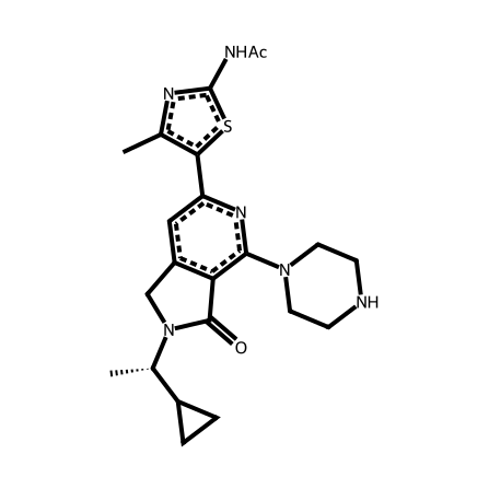 CC(=O)Nc1nc(C)c(-c2cc3c(c(N4CCNCC4)n2)C(=O)N([C@@H](C)C2CC2)C3)s1